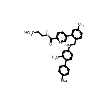 CC(C)(C)c1ccc(-c2ccc(NCc3ccc(C(F)(F)F)cc3-c3ccc(C(=O)NCCC(=O)O)nc3)cc2C(F)(F)F)cc1